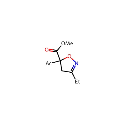 CCC1=NOC(C(C)=O)(C(=O)OC)C1